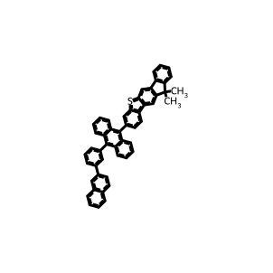 CC1(C)c2ccccc2-c2cc3sc4cc(-c5c6ccccc6c(-c6cccc(-c7ccc8ccccc8c7)c6)c6ccccc56)ccc4c3cc21